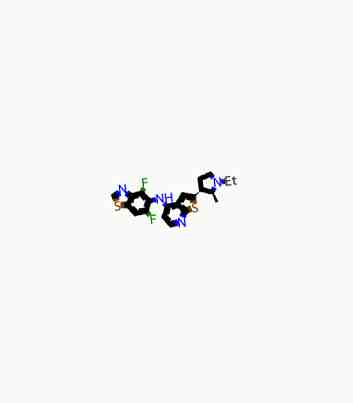 CCN1CC[C@@H](c2cc3c(Nc4c(F)cc5scnc5c4F)ccnc3s2)[C@@H]1C